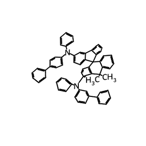 CC1(C)c2ccccc2C2(c3ccccc3-c3cc(N(c4ccccc4)c4ccc(-c5ccccc5)cc4)ccc32)c2ccc(N(c3ccccc3)c3cccc(-c4ccccc4)c3)cc21